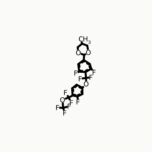 CC1COC(c2cc(F)c(C(F)(F)Oc3ccc(C(F)(F)OC(F)(F)F)c(F)c3)c(F)c2)OC1